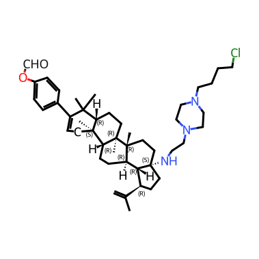 C=C(C)[C@@H]1CC[C@]2(NCCN3CCN(CCCCCl)CC3)CC[C@]3(C)[C@H](CC[C@@H]4[C@@]5(C)CC=C(c6ccc(OC=O)cc6)C(C)(C)[C@@H]5CC[C@]43C)[C@@H]12